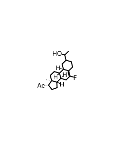 CC(=O)[C@H]1CC[C@H]2[C@@H]3CC(F)=C4CCC(C(C)O)C[C@@H]4[C@H]3CC[C@]12C